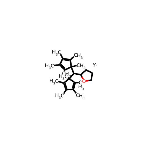 CC1=C(C)C(C)(C(C2CCCO2)C2(C)C(C)=C(C)C(C)=C2C)C(C)=C1C.[Y]